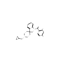 O=C(c1ccc(F)cc1F)N1CC2(CCN(CC3CC3)CC2)c2ccccc21